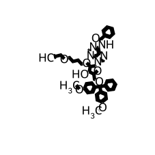 C#CCOCCCCOC1C(O)C(COC(c2ccccc2)(c2ccc(OC)cc2)c2ccc(OC)cc2)OC1n1cnc2c(NC(=O)c3ccccc3)ncnc21